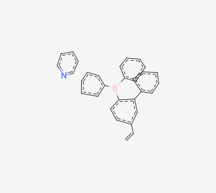 C=Cc1ccc(B(c2ccccc2)c2ccccc2)c(-c2ccccc2)c1.c1ccncc1